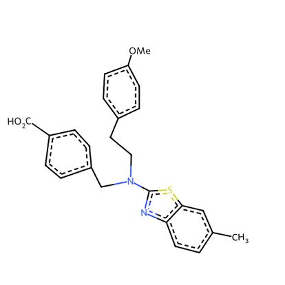 COc1ccc(CCN(Cc2ccc(C(=O)O)cc2)c2nc3ccc(C)cc3s2)cc1